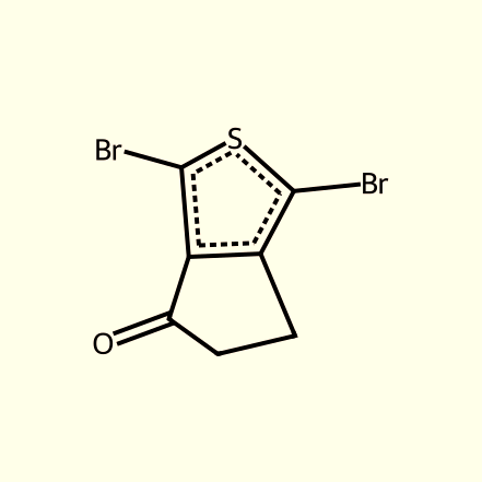 O=C1CCc2c(Br)sc(Br)c21